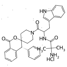 CC(C)(N)C(=O)NC(Cc1c[nH]c2ccccc12)C(=O)N1CCC2(CC1)OC(=O)c1ccccc1[C@H]2c1ccccc1.Cl